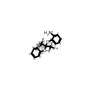 Nc1ccccc1OC(Oc1ccccc1N)(C(F)(F)F)C(F)(F)F